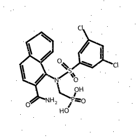 NC(=O)c1ccc2ccccc2c1N(CP(=O)(O)O)S(=O)(=O)c1cc(Cl)cc(Cl)c1